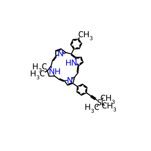 Cc1ccc(/C2=c3\cc/c([nH]3)=C/C3=NC(=C\C4CC(C)(C)C(/C=C5/C=CC2=N5)N4)/C=C3c2ccc(C#C[Si](C)(C)C)cc2)cc1